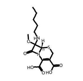 CCCCCNC1(OC)C(=O)N2C(C(=O)O)=C(C(=O)O)CS[C@H]21